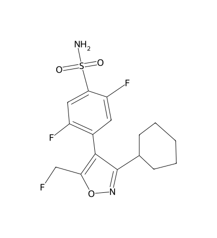 NS(=O)(=O)c1cc(F)c(-c2c(C3CCCCC3)noc2CF)cc1F